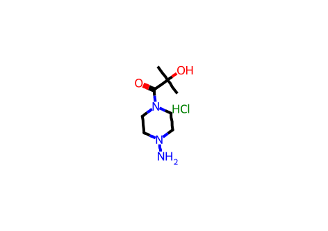 CC(C)(O)C(=O)N1CCN(N)CC1.Cl